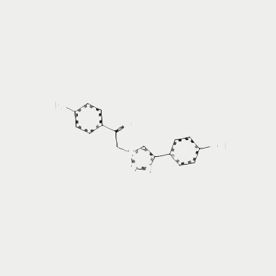 O=C(Cn1cc(-c2ccc(O)cc2)nn1)c1ccc(O)cc1